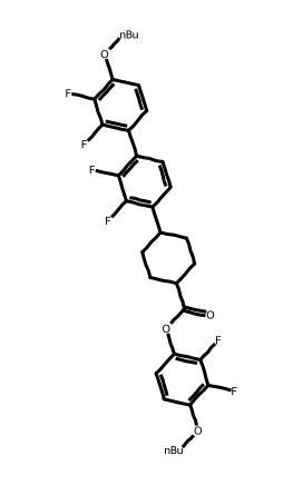 CCCCOc1ccc(OC(=O)C2CCC(c3ccc(-c4ccc(OCCCC)c(F)c4F)c(F)c3F)CC2)c(F)c1F